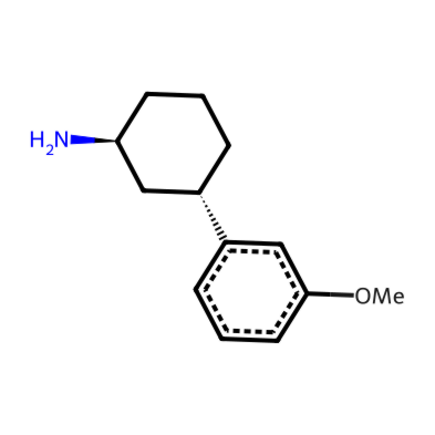 COc1cccc([C@H]2CCC[C@H](N)C2)c1